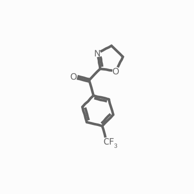 O=C(C1=NCCO1)c1ccc(C(F)(F)F)cc1